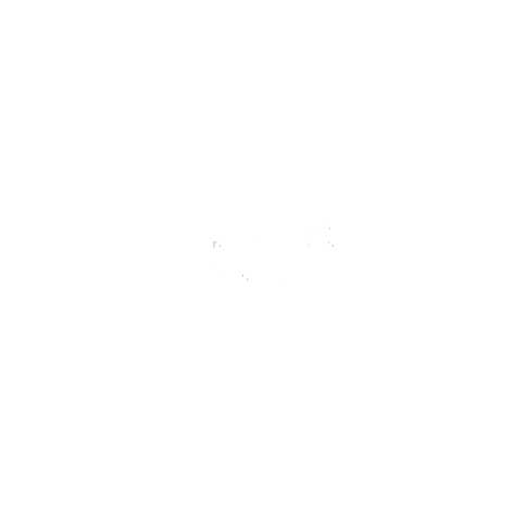 O=C1NC(CO)=CN2CCOC3=C(c4cn[nH]c4)SC1C32